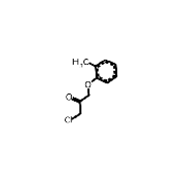 Cc1ccccc1OCC(=O)CCl